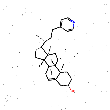 C[C@H](CCc1ccncc1)[C@H]1CC[C@H]2[C@@H]3CC=C4C[C@@H](O)CC[C@]4(C)[C@H]3CC[C@]12C